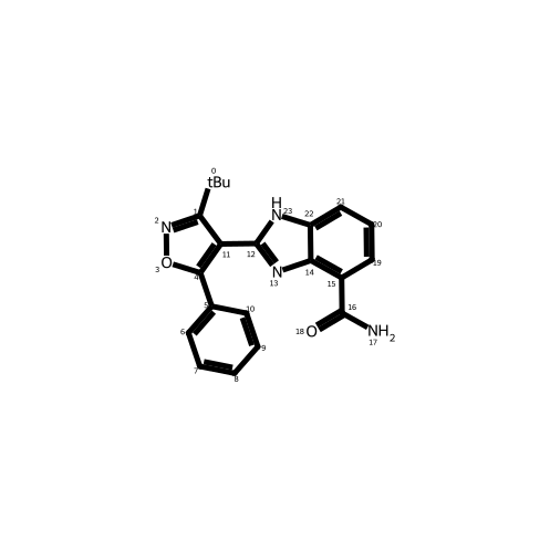 CC(C)(C)c1noc(-c2ccccc2)c1-c1nc2c(C(N)=O)cccc2[nH]1